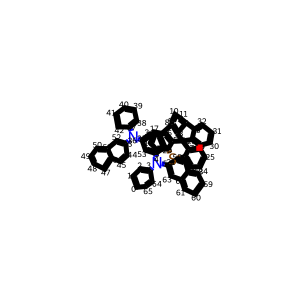 c1ccc(N(c2cc(-c3cccc4c3C3(c5ccccc5Sc5ccccc53)c3ccccc3-4)cc(N(c3ccccc3)c3ccc4ccccc4c3)c2)c2ccc3ccccc3c2)cc1